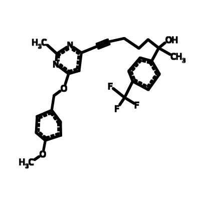 COc1ccc(COc2cc(C#CCCCC(C)(O)c3ccc(C(F)(F)F)cc3)nc(C)n2)cc1